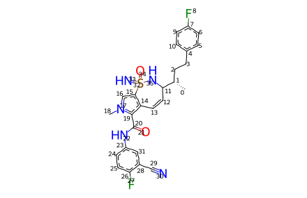 C[C@@H](CCc1ccc(F)cc1)C1C=Cc2c(cn(C)c2C(=O)Nc2ccc(F)c(C#N)c2)S(=N)(=O)N1